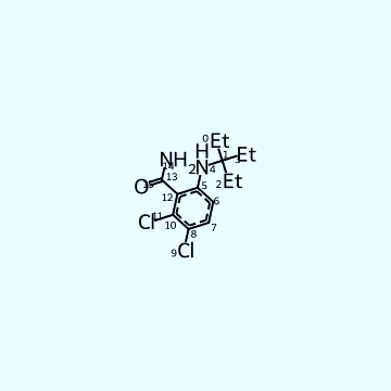 CCC(CC)(CC)Nc1ccc(Cl)c(Cl)c1C(N)=O